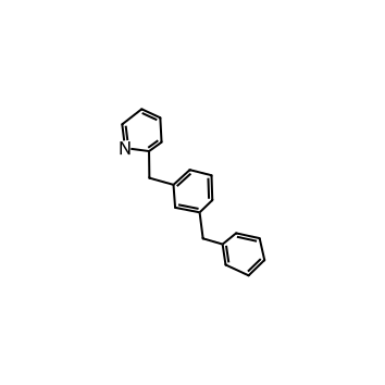 c1ccc(Cc2cccc(Cc3ccccn3)c2)cc1